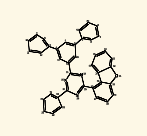 c1ccc(-c2cc(-c3ccccc3)cc(-c3nc(-c4ccccc4)nc(-c4cccc5oc6ccccc6c45)n3)c2)cc1